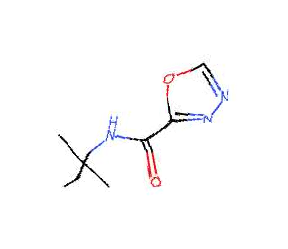 CC(C)(C)NC(=O)c1nnco1